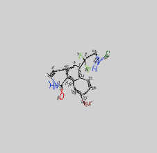 O=c1[nH]ccc2cc(C(F)(F)CNCl)c3ccc(Br)cc3c12